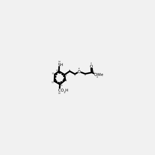 COC(=O)COCCc1cc(C(=O)O)ccc1S